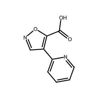 O=C(O)c1oncc1-c1ccccn1